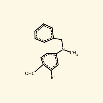 CN(Cc1ccccc1)c1ccc(C=O)c(Br)c1